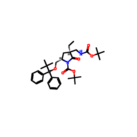 CC[C@@]1(CNC(=O)OC(C)(C)C)C[C@@H](CO[Si](c2ccccc2)(c2ccccc2)C(C)(C)C)N(C(=O)OC(C)(C)C)C1=O